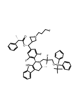 C[C@H](C(=O)O[C@@H](c1cc(F)c([C@@H]2c3[nH]c4ccccc4c3C[C@@H](C)N2CC(F)(F)CO[Si](c2ccccc2)(c2ccccc2)C(C)(C)C)c(F)c1)C1CN(CCCF)C1)c1ccccc1